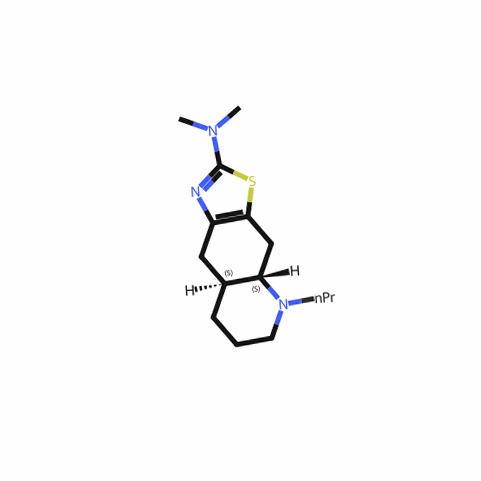 CCCN1CCC[C@H]2Cc3nc(N(C)C)sc3C[C@@H]21